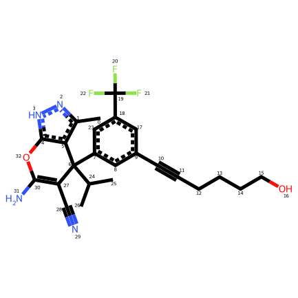 Cc1n[nH]c2c1C(c1cc(C#CCCCCO)cc(C(F)(F)F)c1)(C(C)C)C(C#N)=C(N)O2